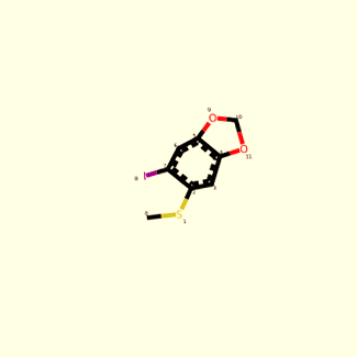 CSc1cc2c(cc1I)OCO2